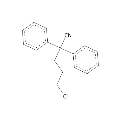 N#CC(CCCCl)(c1ccccc1)c1ccccc1